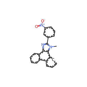 Cn1c(-c2cccc([N+](=O)[O-])c2)nc2c3ccccc3c3ccccc3c21